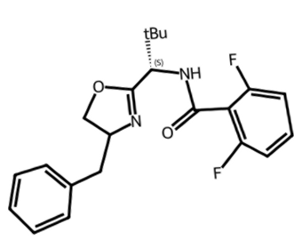 CC(C)(C)[C@H](NC(=O)c1c(F)cccc1F)C1=NC(Cc2ccccc2)CO1